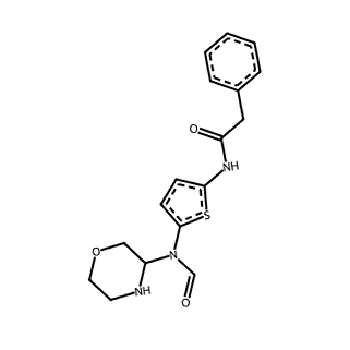 O=CN(c1ccc(NC(=O)Cc2ccccc2)s1)C1COCCN1